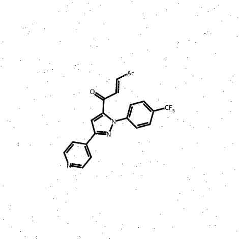 CC(=O)/C=C/C(=O)c1cc(-c2ccncc2)nn1-c1ccc(C(F)(F)F)cc1